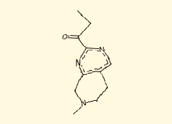 CCC(=O)c1ncc2c(n1)CN(C)CC2